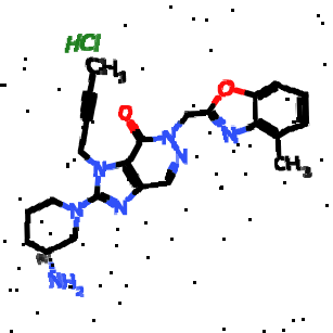 CC#CCn1c(N2CCC[C@@H](N)C2)nc2cnn(Cc3nc4c(C)cccc4o3)c(=O)c21.Cl